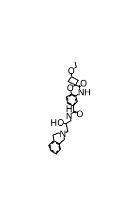 CCOC1CC2(C1)Oc1ccc(C(=O)NCC(O)CN3CCc4ccccc4C3)cc1NC2=O